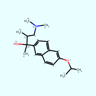 CC(C)Oc1ccc2cc(C(C)(O)C(C)CN(C)C)ccc2c1